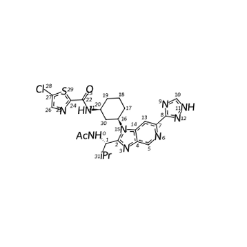 CC(=O)N[C@H](c1nc2cnc(-c3nc[nH]n3)cc2n1[C@@H]1CCC[C@H](NC(=O)c2ncc(Cl)s2)C1)C(C)C